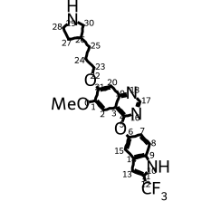 COc1cc2c(Oc3ccc4[nH]c(C(F)(F)F)cc4c3)ncnc2cc1OCCCC1CCNC1